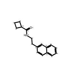 O=C(NCCc1ccc2ccccc2c1)C1CCC1